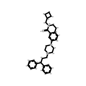 O=C1c2cc(N3CCN(CCC(c4ccccc4)c4ccccc4)CC3)ccc2CCN1CC1CCC1